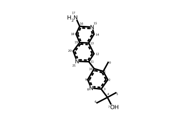 Cc1cc(C(C)(C)O)ncc1-c1cc2cnc(N)cc2cn1